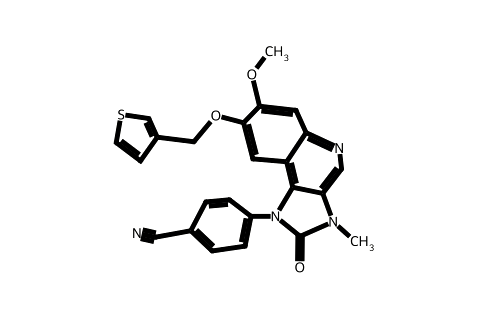 COc1cc2ncc3c(c2cc1OCc1ccsc1)n(-c1ccc(C#N)cc1)c(=O)n3C